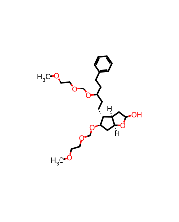 COCCOCOC(CCc1ccccc1)CC[C@@H]1[C@H]2CC(O)O[C@H]2C[C@H]1OCOCCOC